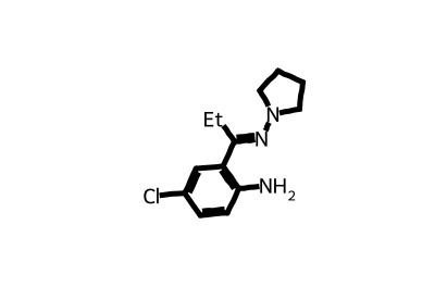 CC/C(=N\N1CCCC1)c1cc(Cl)ccc1N